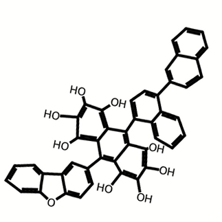 Oc1c(O)c(O)c2c(-c3ccc(-c4ccc5ccccc5c4)c4ccccc34)c3c(O)c(O)c(O)c(O)c3c(-c3ccc4oc5ccccc5c4c3)c2c1O